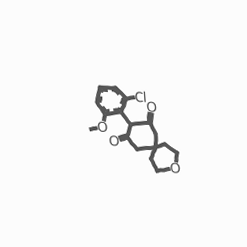 COc1cccc(Cl)c1C1C(=O)CC2(CCOCC2)CC1=O